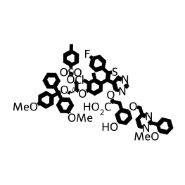 COc1ccc(C(OC[C@H](COS(=O)(=O)c2ccc(C)cc2)Oc2ccc(-c3c(-c4ccc(F)cc4)sc4ncnc(OC(Cc5cc(O)ccc5OCc5ccnc(-c6ccccc6OC)n5)C(=O)O)c34)c(C)c2Cl)(c2ccccc2)c2ccc(OC)cc2)cc1